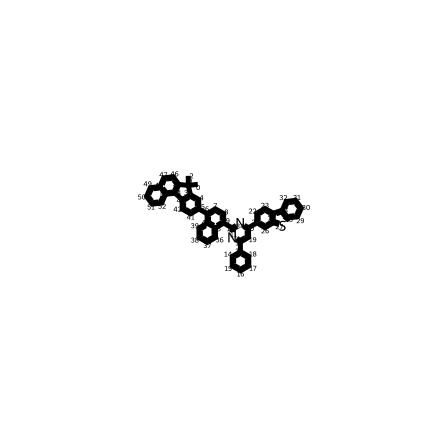 CC1(C)c2cc(-c3ccc(-c4nc(-c5ccccc5)cc(-c5ccc6c(c5)sc5ccccc56)n4)c4ccccc34)ccc2-c2c1ccc1ccccc21